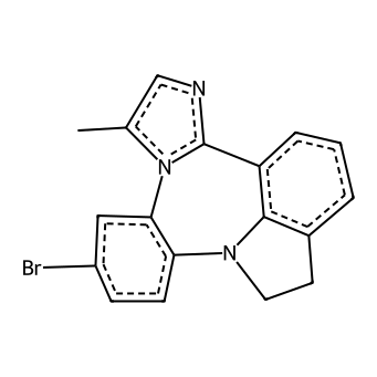 Cc1cnc2n1-c1cc(Br)ccc1N1CCc3cccc-2c31